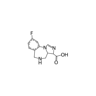 O=C(O)C1N=CN2c3cc(F)ccc3CNCC12